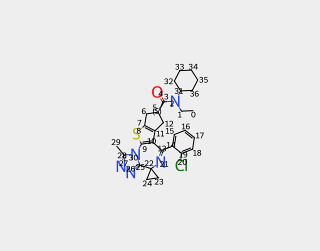 CCN(C(=O)[C@@H]1Cc2sc3c(c2C1)C(c1ccccc1Cl)=NC1(CC1)c1nnc(C)n1-3)C1CCCCC1